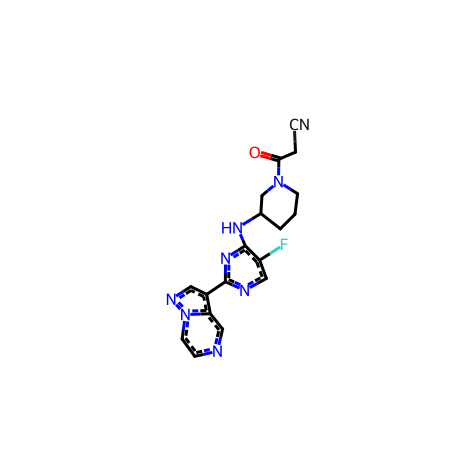 N#CCC(=O)N1CCCC(Nc2nc(-c3cnn4ccncc34)ncc2F)C1